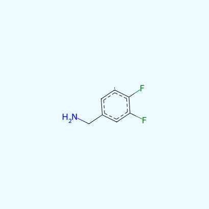 NCc1c[c]c(F)c(F)c1